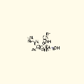 CC(=O)c1nn(CC(=O)N2[C@H](C(=O)Nc3nc(Br)ccc3C)C[C@@]3(/C=N/O)CC[C@@H]23)c2cnc(-c3cnc(C)nc3)cc12